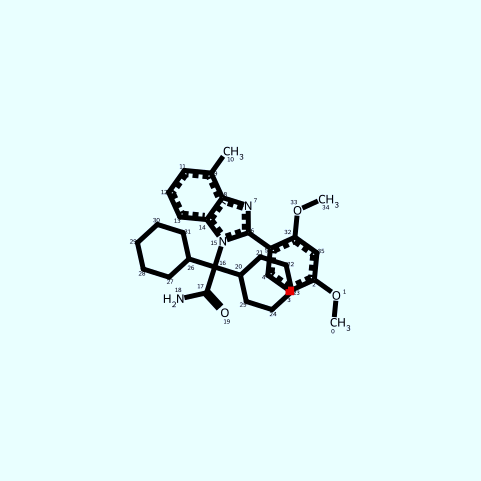 COc1ccc(-c2nc3c(C)cccc3n2C(C(N)=O)(C2CCCCC2)C2CCCCC2)c(OC)c1